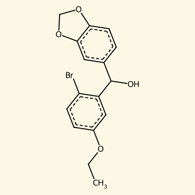 CCOc1ccc(Br)c(C(O)c2ccc3c(c2)OCO3)c1